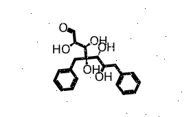 O=C[C@H](O)[C@@H](O)[C@@](O)(Cc1ccccc1)[C@H](O)C(O)Cc1ccccc1